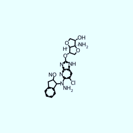 NN(c1nc2nc(O[C@@H]3CO[C@]4(N)[C@H](O)CO[C@H]34)[nH]c2cc1Cl)C1c2ccccc2CC1N=O